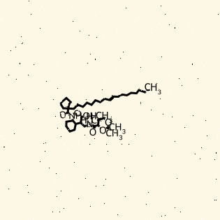 CCCCCCCCC=CCCCCCCCCC1(C(=O)NC2CCCCC2C(CNC(=O)C2OC(C)(C)OCC2(C)C)C(=O)O)CCCC1